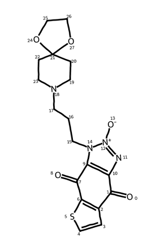 O=C1c2ccsc2C(=O)c2c1n[n+]([O-])n2CCCN1CCC2(CC1)OCCO2